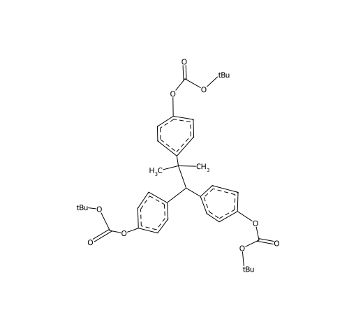 CC(C)(C)OC(=O)Oc1ccc(C(c2ccc(OC(=O)OC(C)(C)C)cc2)C(C)(C)c2ccc(OC(=O)OC(C)(C)C)cc2)cc1